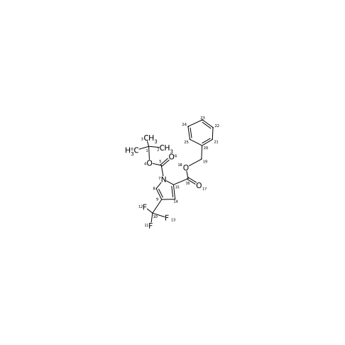 CC(C)(C)OC(=O)n1cc(C(F)(F)F)cc1C(=O)OCc1ccccc1